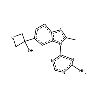 Cc1nc2ccc(C3(O)COC3)cc2n1-c1ncnc(N)n1